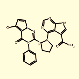 NC(=O)c1c[nH]c2ncnc(N3CCC[C@H]3c3nn4ccc(Cl)c4c(=O)n3-c3ccccc3)c12